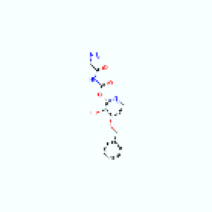 NCC(=O)NC(=O)Oc1nccc(OCc2ccccc2)c1O